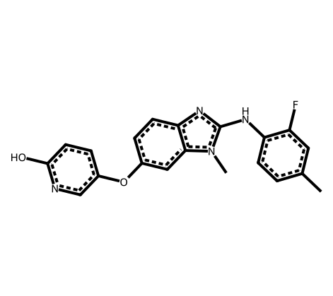 Cc1ccc(Nc2nc3ccc(Oc4ccc(O)nc4)cc3n2C)c(F)c1